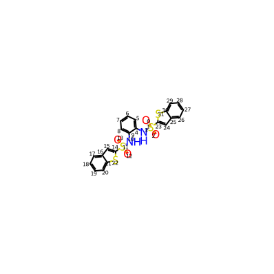 O=S(=O)(Nc1ccccc1NS(=O)(=O)c1cc2ccccc2s1)c1cc2ccccc2s1